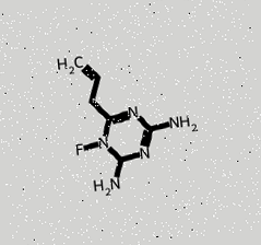 C=CCC1=NC(N)=NC(N)N1F